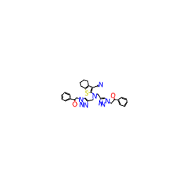 N#Cc1c(N(Cc2cn(CC(=O)c3ccccc3)nn2)Cc2cn(CC(=O)c3ccccc3)nn2)sc2c1CCCC2